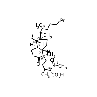 CC(C)CCC[C@@H](C)[C@H]1CC[C@H]2[C@@H]3CCC(=O)[C@](C)(CCC(C)[C@@H](C(=O)O)N(C)C)[C@H]3CC[C@]12C